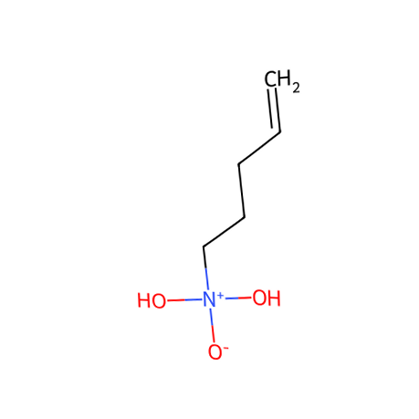 C=CCCC[N+]([O-])(O)O